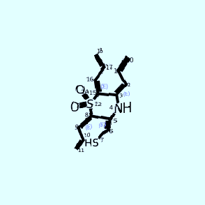 C=C/C=C1/NC(=C/S)/C(=C\C=C)S(=O)(=O)/C1=C/C=C